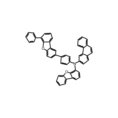 c1ccc(-c2cccc3c2oc2ccc(-c4ccc(N(c5ccc6ccc7ccccc7c6c5)c5cccc6c5oc5ccccc56)cc4)cc23)cc1